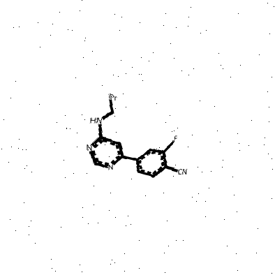 CC(C)CNc1cc(-c2ccc(C#N)c(F)c2)ncn1